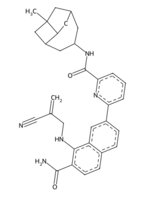 C=C(C#N)CNc1c(C(N)=O)ccc2ccc(-c3cccc(C(=O)NC4CC5CC6C(C4)CC6(C)C5)n3)cc12